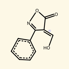 O=C1ON=C(c2ccccc2)/C1=C\O